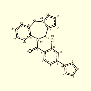 O=C(c1ccc(-n2cccc2)cc1Cl)N1Cc2cccn2Cc2ccccc21